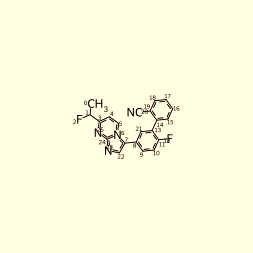 CC(F)c1ccn2c(-c3ccc(F)c(-c4ccccc4C#N)c3)cnc2n1